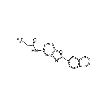 O=C(CC(F)(F)F)Nc1ccc2oc(-c3ccc4ccccc4c3)nc2c1